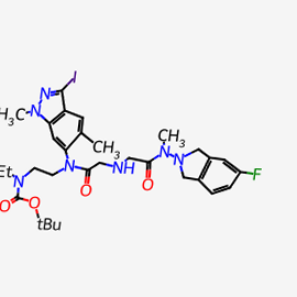 CCN(CCN(C(=O)CNCC(=O)N(C)N1Cc2ccc(F)cc2C1)c1cc2c(cc1C)c(I)nn2C)C(=O)OC(C)(C)C